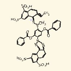 CC=C1C=Cc2c(cc(S(=O)(=O)O)cc2S(=O)(=O)O)/C1=N/N(C)c1cc(OC(=O)c2ccccc2)c(-n2nc3ccc4c(S(=O)(=O)O)cc(S(=O)(=O)O)cc4c3n2)cc1OC(=O)c1ccccc1